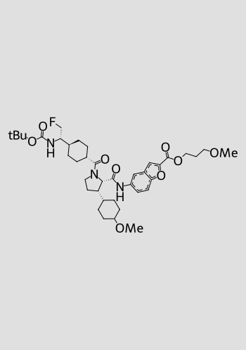 COCCCOC(=O)c1cc2cc(NC(=O)[C@@H]3[C@H](C4CCC(OC)CC4)CCN3C(=O)[C@H]3CC[C@H]([C@@H](CF)NC(=O)OC(C)(C)C)CC3)ccc2o1